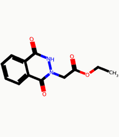 CCOC(=O)Cn1[nH]c(=O)c2ccccc2c1=O